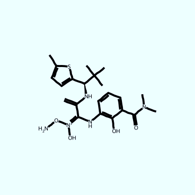 C=C(N[C@@H](c1ccc(C)s1)C(C)(C)C)/C(Nc1cccc(C(=O)N(C)C)c1O)=[N+](/O)ON